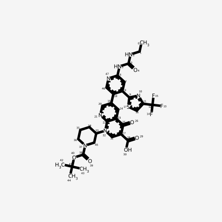 CCNC(=O)Nc1cc(-c2nc(C(F)(F)F)cs2)c(-c2cnc3c(c2)c(=O)c(C(=O)O)cn3C2CCCN(C(=O)OC(C)(C)C)C2)cn1